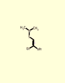 CCC/C(=C/SN(C)C)CC